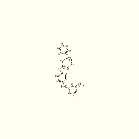 Cc1cccc(Nc2ccc(CN3CCO[C@@H](c4ccccc4)C3)cn2)c1